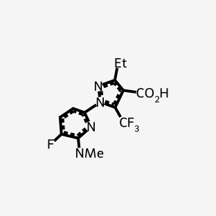 CCc1nn(-c2ccc(F)c(NC)n2)c(C(F)(F)F)c1C(=O)O